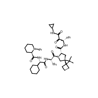 CCC[C@H](NC(=O)[C@@H]1C[C@@]2(CN1C(=O)[C@@H](NC(=O)[C@@H](NC(=O)[C@H]1CCCCN1C(C)C)C1CCCCC1)C(C)(C)C)C(C)(C)C21CCC1)C(=O)C(=O)NC1CC1